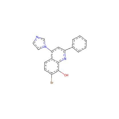 Oc1c(Br)ccc2c(-n3ccnc3)cc(-c3ccccc3)nc12